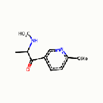 COc1ccc(C(=O)C(C)NC(=O)O)cn1